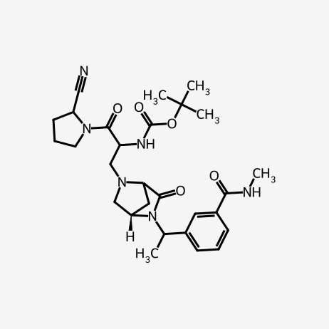 CNC(=O)c1cccc(C(C)N2C(=O)C3C[C@H]2CN3CC(NC(=O)OC(C)(C)C)C(=O)N2CCCC2C#N)c1